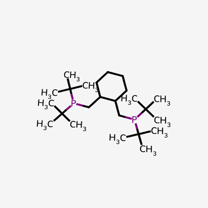 CC(C)(C)P(CC1CCCCC1CP(C(C)(C)C)C(C)(C)C)C(C)(C)C